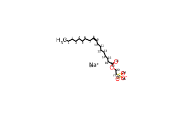 CCCCCCCC/C=C\CCCCCCCC(=O)OCCS(=O)(=O)[O-].[Na+]